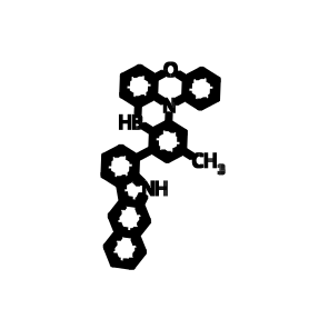 Cc1cc(-c2cccc3c2[nH]c2cc4ccccc4cc23)c2c(c1)N1c3ccccc3Oc3cccc(c31)B2